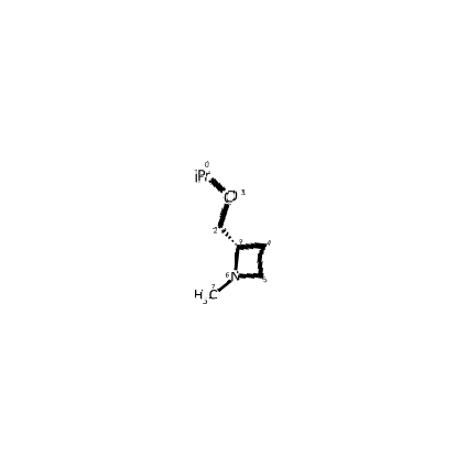 CC(C)OC[C@@H]1CCN1C